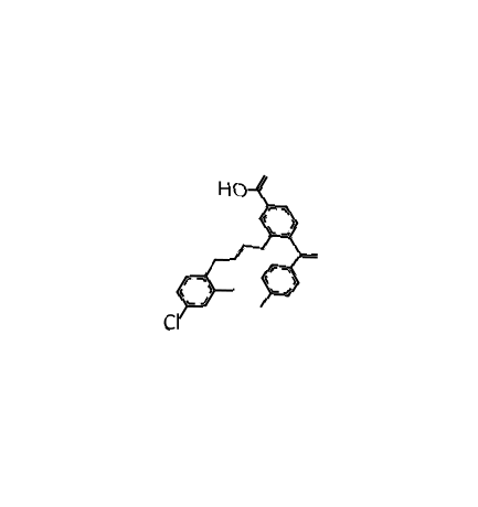 C=C(O)c1ccc(C(=C)c2ccc(C)cc2)c(CCCCc2ccc(Cl)cc2C)c1